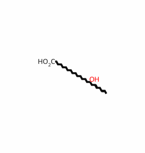 CC=CCC=CCC(O)CCCCCCCCCCCCCCC(=O)O